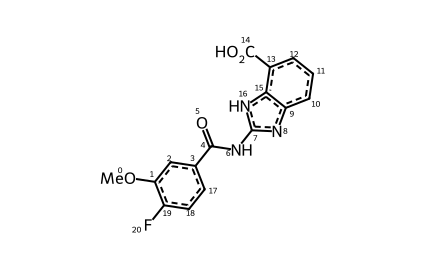 COc1cc(C(=O)Nc2nc3cccc(C(=O)O)c3[nH]2)ccc1F